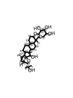 C[C@@H]1C[C@@H]2O[C@@]3(O[C@@H]2C(C)(C)O)C(O)[C@@]2(C)C4CCC5C(C)(C)[C@@H](OC6OC[C@H](O)[C@@H](O)[C@@H]6O)CC[C@]5(C)C4CC[C@]2(C)C13